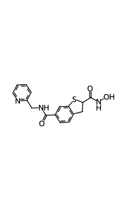 O=C(NCc1ccccn1)c1ccc2c(c1)SC(C(=O)NO)C2